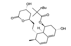 CCCCC(C)(C)C(=O)O[C@H]1C[C@H](O)C=C2C=C[C@@H](C)[C@H](CC[C@@H]3C[C@@H](O)CC(=O)O3)[C@H]21